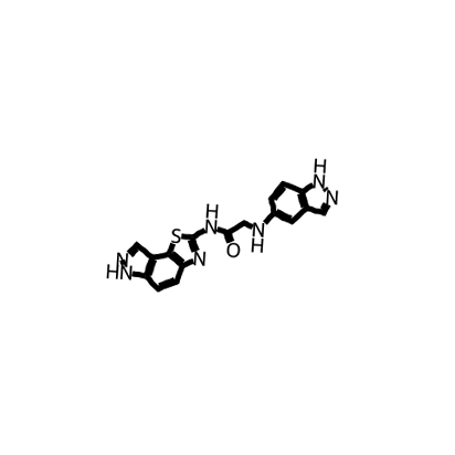 O=C(CNc1ccc2[nH]ncc2c1)Nc1nc2ccc3[nH]ncc3c2s1